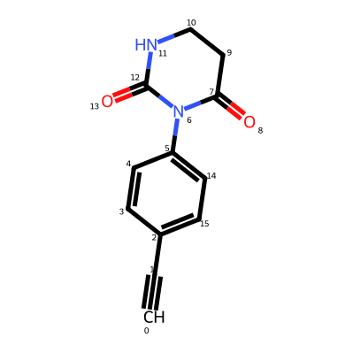 C#Cc1ccc(N2C(=O)CCNC2=O)cc1